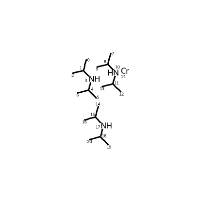 CC(C)NC(C)C.CC(C)NC(C)C.CC(C)NC(C)C.[Cr]